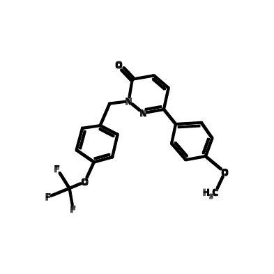 COc1ccc(-c2ccc(=O)n(Cc3ccc(OC(F)(F)F)cc3)n2)cc1